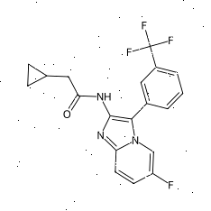 O=C(CC1CC1)Nc1nc2ccc(F)cn2c1-c1cccc(C(F)(F)F)c1